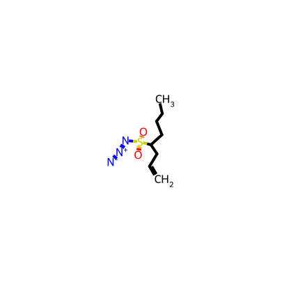 C=CCC(CCCC)S(=O)(=O)N=[N+]=[N-]